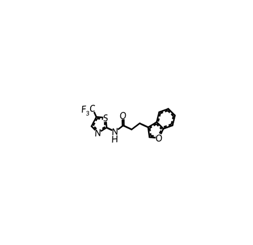 O=C(CCc1coc2ccccc12)Nc1ncc(C(F)(F)F)s1